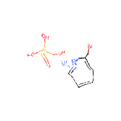 Brc1ccccn1.N.O=P(O)(O)O